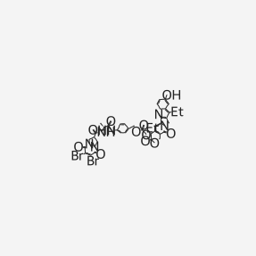 CCc1c2c(nc3ccc(O)cc13)-c1cc3c(c(=O)n1C2)COC(=O)[C@@]3(CC)OC(=O)OCc1ccc(NC(=O)[C@H](C)NC(=O)C2Cn3c(=O)c(Br)c(Br)c(=O)n3C2)cc1